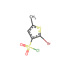 Cc1cc(S(=O)(=O)Cl)c(Br)s1